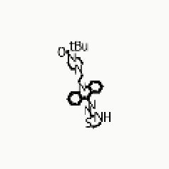 CC(C)(C)C(=O)N1CCN(CCn2c3ccccc3c(=NN=C3NCCS3)c3ccccc32)CC1